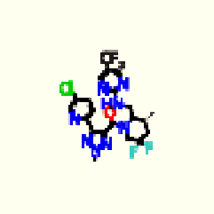 C[C@@H]1CC(F)(F)CN(C(=O)c2nn(C)nc2-c2ccc(Cl)cn2)C1CNc1ncc(C(F)(F)F)cn1